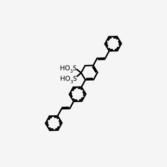 O=S(=O)(O)C1(S(=O)(=O)O)CC(C=Cc2ccccc2)=CC=C1c1ccc(C=Cc2ccccc2)cc1